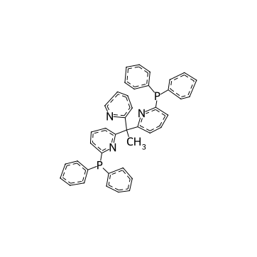 CC(c1ccccn1)(c1cccc(P(c2ccccc2)c2ccccc2)n1)c1cccc(P(c2ccccc2)c2ccccc2)n1